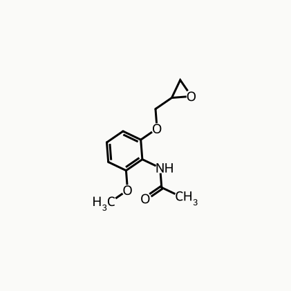 COc1cccc(OCC2CO2)c1NC(C)=O